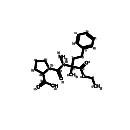 CCOC(=O)C(C)(CCc1ccccc1)N(N)C(=O)N1CCCC1C(=O)O